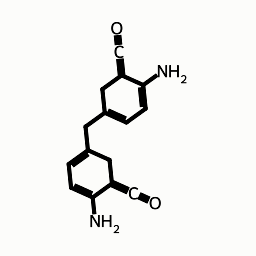 NC1=CC=C(CC2=CC=C(N)C(=C=O)C2)CC1=C=O